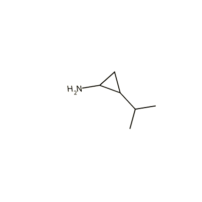 CC(C)C1CC1N